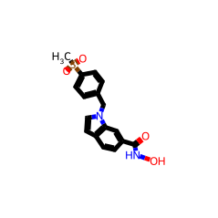 CS(=O)(=O)c1ccc(Cn2ccc3ccc(C(=O)NO)cc32)cc1